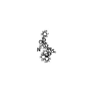 CSc1nc2c(c(N3CCN(C(=O)OCc4ccccc4)[C@@H](CC#N)C3)n1)CCC1(CCCc3cccc(C)c31)O2